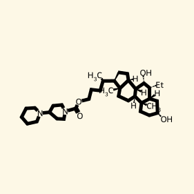 CC[C@H]1[C@@H](O)[C@@H]2[C@H](CC[C@]3(C)[C@@H]([C@H](C)CCCOC(=O)N4CCC(N5CCCCC5)CC4)CC[C@@H]23)[C@@]2(C)CC[C@@H](O)C[C@@H]12